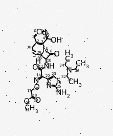 C=CC1=C(C(=O)O)N2C(=O)C(NC(=O)/C(=N/OCC(=O)OC)c3csc(N)n3)[C@H]2SC1.CCN(CC)CC